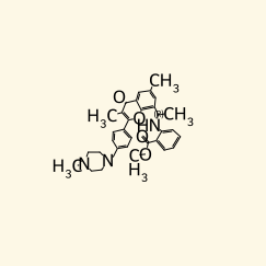 COC(=O)c1ccccc1N[C@H](C)c1cc(C)cc2c(=O)c(C)c(-c3ccc(CN4CCN(C)CC4)cc3)oc12